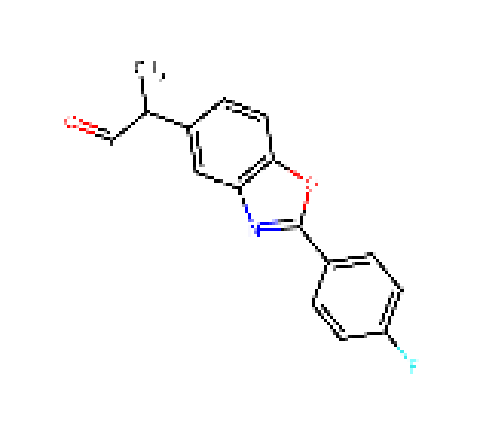 CC([C]=O)c1ccc2oc(-c3ccc(F)cc3)nc2c1